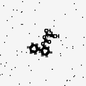 C#CC(C)OC(=O)Oc1ccccc1-c1ccccc1